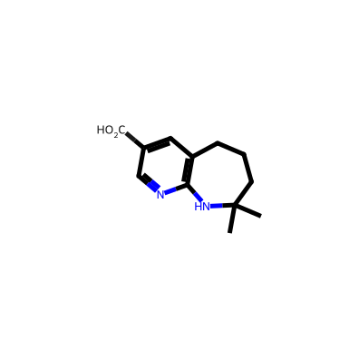 CC1(C)CCCc2cc(C(=O)O)cnc2N1